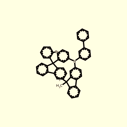 CC1(C)c2ccccc2-c2ccc(N(c3cccc(-c4ccccc4)c3)c3cccc(C4(c5ccccc5Br)c5ccccc5-c5ccccc54)c3)cc21